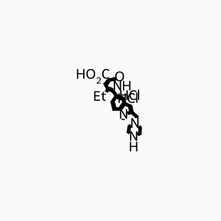 CCc1cc(C(=O)O)c(=O)[nH]c1-c1ccc2c(c1)cc(CN1CCNCC1)n2C.Cl.Cl